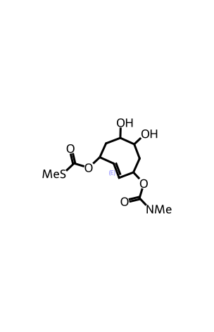 CNC(=O)OC1/C=C/C(OC(=O)SC)CC(O)C(O)C1